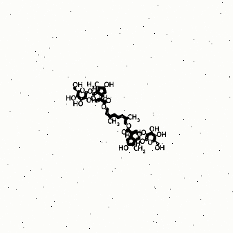 C=C1[C@H]2[C@H](O[C@@H]3O[C@H](CO)[C@@H](O)[C@H](O)[C@H]3O)OC=C(C(=O)OCCC(C)CCCC(C)COC(=O)C3=CO[C@@H](O[C@@H]4O[C@H](CO)[C@@H](O)[C@H](O)[C@H]4O)[C@@H]4C(=C)[C@@H](O)C[C@H]34)[C@H]2C[C@@H]1O